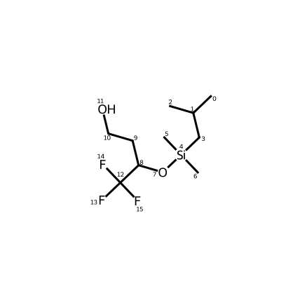 CC(C)C[Si](C)(C)OC(CCO)C(F)(F)F